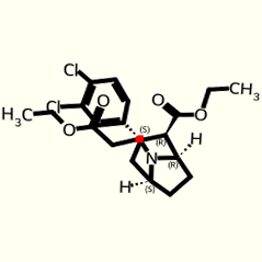 CCOC(=O)CCN1[C@H]2CC[C@@H]1[C@H](C(=O)OCC)[C@@H](c1ccc(Cl)c(Cl)c1)C2